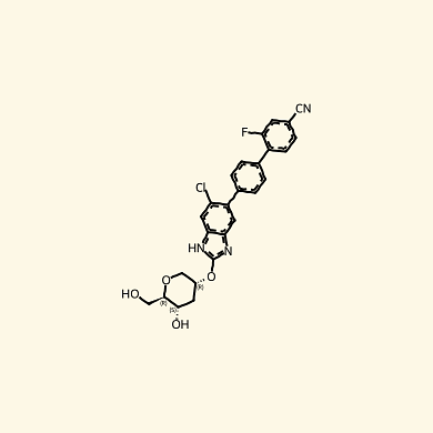 N#Cc1ccc(-c2ccc(-c3cc4nc(O[C@H]5CO[C@H](CO)[C@@H](O)C5)[nH]c4cc3Cl)cc2)c(F)c1